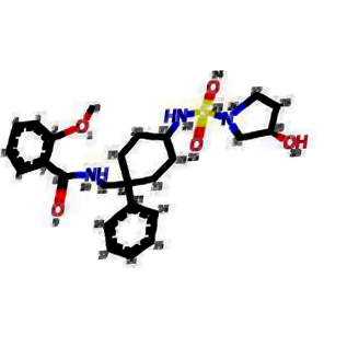 COc1ccccc1C(=O)NCC1(c2ccccc2)CCC(NS(=O)(=O)N2CC[C@@H](O)C2)CC1